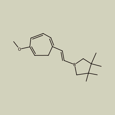 COC1=CCC(/C=C/B2CC(C)(C)C(C)(C)C2)=CC=C1